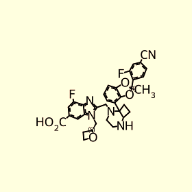 C[C@@]1(c2ccc(C#N)cc2F)Oc2cccc(C34CCC3NCCN4Cc3nc4c(F)cc(C(=O)O)cc4n3C[C@@H]3CCO3)c2O1